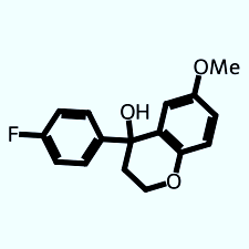 COc1ccc2c(c1)C(O)(c1ccc(F)cc1)CCO2